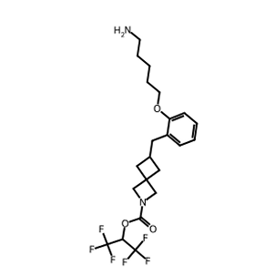 NCCCCCOc1ccccc1CC1CC2(C1)CN(C(=O)OC(C(F)(F)F)C(F)(F)F)C2